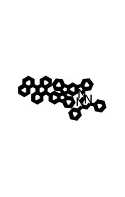 c1ccc(-c2cc(-c3ccccc3)nc(-n3c4ccccc4c4cc5c(cc43)C3(c4ccccc4-c4ccc(-c6c7ccccc7c(-c7cccc8ccccc78)c7ccccc67)cc43)c3ccccc3-5)n2)cc1